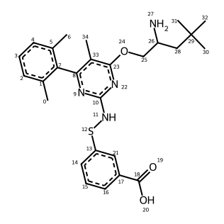 Cc1cccc(C)c1-c1nc(NSc2cccc(C(=O)O)c2)nc(OCC(N)CC(C)(C)C)c1C